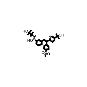 CC(C)(O)c1ccc(/C(=C/c2cccc(B(O)OC(C)(C)C(C)(C)O)c2)c2ccc(S(C)(=O)=O)cc2)nc1